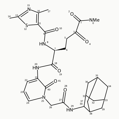 CNC(=O)C(=O)CC[C@H](NC(=O)c1sc(C)nc1C)C(=O)Nc1cccn(CC(=O)NC2C3CC4CC(C3)CC2C4)c1=O